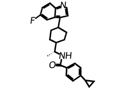 C[C@@H](NC(=O)c1ccc(C2CC2)cc1)C1CCC(c2ccnc3ccc(F)cc23)CC1